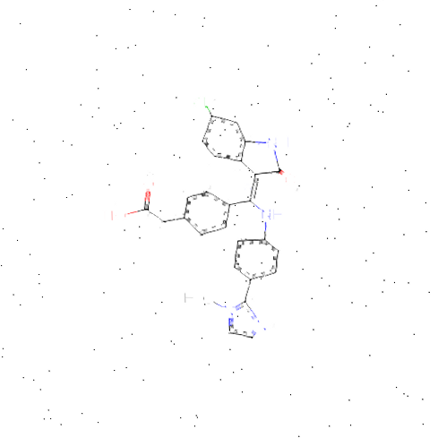 Cn1ccnc1-c1ccc(N/C(=C2\C(=O)Nc3cc(Cl)ccc32)c2ccc(CC(=O)O)cc2)cc1